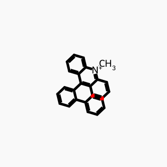 C[n+]1c2ccccc2c(-c2ccccc2-c2ccccc2)c2ccccc21